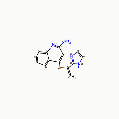 C=C(Sc1cc(N)nc2ccccc12)c1ncc[nH]1